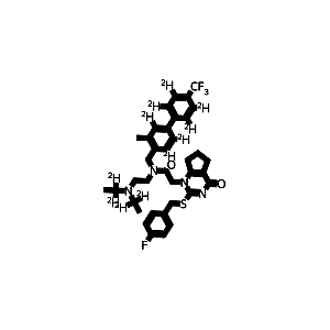 [2H]c1c([2H])c(-c2c([2H])c([2H])c(C(F)(F)F)c([2H])c2[2H])c([2H])c(C)c1CN(CCN(C([2H])([2H])C)C([2H])([2H])C)C(=O)Cn1c(SCc2ccc(F)cc2)nc(=O)c2c1CCC2